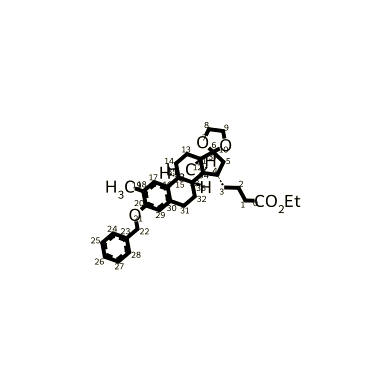 CCOC(=O)CCC[C@H]1CC2(OCCO2)[C@@]2(C)CC[C@@H]3c4cc(C)c(OCc5ccccc5)cc4CC[C@H]3[C@H]12